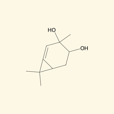 CC1(O)C=C2C(CC1O)C2(C)C